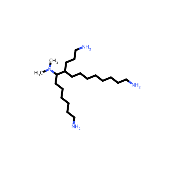 CN(C)C(CCCCCCN)C(CCCN)CCCCCCCCN